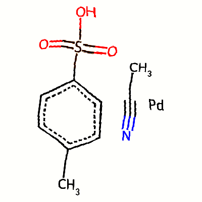 CC#N.Cc1ccc(S(=O)(=O)O)cc1.[Pd]